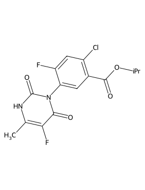 Cc1[nH]c(=O)n(-c2cc(C(=O)OC(C)C)c(Cl)cc2F)c(=O)c1F